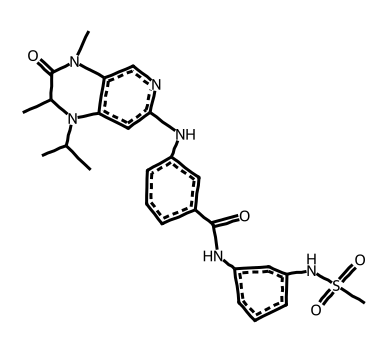 CC(C)N1c2cc(Nc3cccc(C(=O)Nc4cccc(NS(C)(=O)=O)c4)c3)ncc2N(C)C(=O)C1C